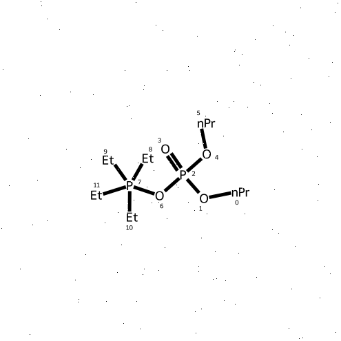 CCCOP(=O)(OCCC)OP(CC)(CC)(CC)CC